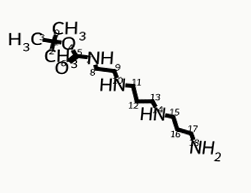 CC(C)(C)OC(=O)NCCNCCCNCCCN